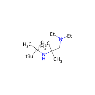 CCN(CC)CC(C)(C)N[Si](C)(C)C(C)(C)C